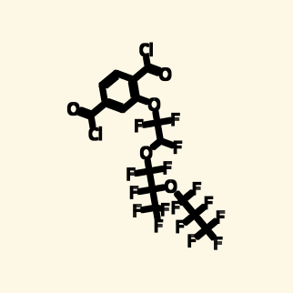 O=C(Cl)c1ccc(C(=O)Cl)c(OC(F)(F)C(F)OC(F)(F)C(F)(OC(F)(F)C(F)(F)C(F)(F)F)C(F)(F)F)c1